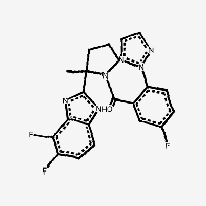 CC1(c2nc3c(F)c(F)ccc3[nH]2)CCCN1C(=O)c1cc(F)ccc1-n1nccn1